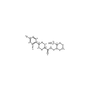 O=C(OCC1COCCN1C(=O)O)N1CCN(c2ccc(F)cc2F)CC1